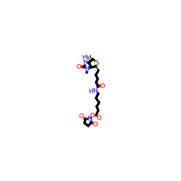 CN1C(=O)N[C@H]2CS[C@@H](CCCCC(=O)NCCCCCC(=O)ON3C(=O)CCC3=O)C21